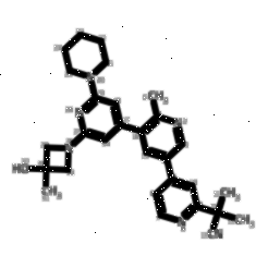 Cc1ncc(-c2ccnc(C(C)(C)C#N)c2)cc1-c1cc(N2CCCCC2)nc(N2CC(C)(O)C2)c1